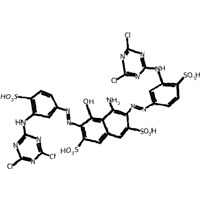 Nc1c(/N=N/c2ccc(S(=O)(=O)O)c(Nc3nc(Cl)nc(Cl)n3)c2)c(S(=O)(=O)O)cc2cc(S(=O)(=O)O)c(/N=N/c3ccc(S(=O)(=O)O)c(Nc4nc(Cl)nc(Cl)n4)c3)c(O)c12